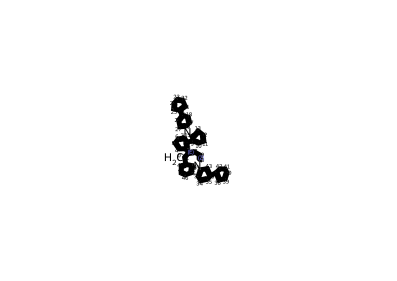 C=C1/C(c2cccc3c2c2ccccc2n3-c2ccc(-c3ccccc3)cc2)=C\C=C/N(c2cccc(C3=CC=CCC3)c2)c2ccccc21